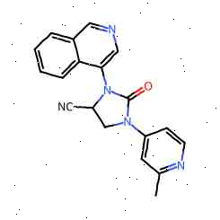 Cc1cc(N2CC(C#N)N(c3cncc4ccccc34)C2=O)ccn1